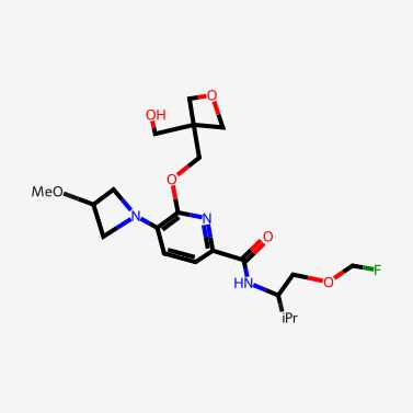 COC1CN(c2ccc(C(=O)NC(COCF)C(C)C)nc2OCC2(CO)COC2)C1